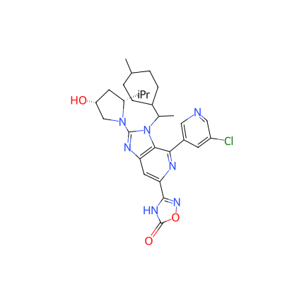 CC1CCC(C(C)n2c(N3C[C@H](O)C[C@@H]3C(C)C)nc3cc(-c4noc(=O)[nH]4)nc(-c4cncc(Cl)c4)c32)CC1